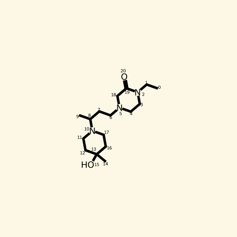 CCN1CCN(CCC(C)N2CCC(C)(O)CC2)CC1=O